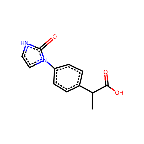 CC(C(=O)O)c1ccc(-n2cc[nH]c2=O)cc1